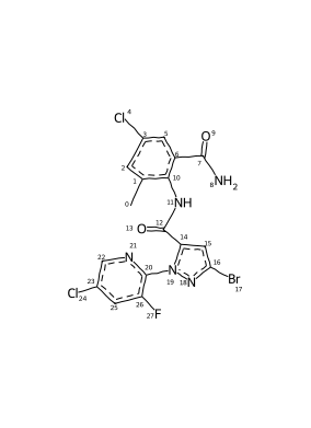 Cc1cc(Cl)cc(C(N)=O)c1NC(=O)c1cc(Br)nn1-c1ncc(Cl)cc1F